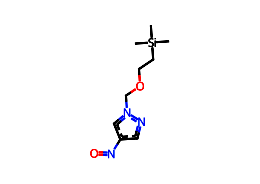 C[Si](C)(C)CCOCn1cc(N=O)cn1